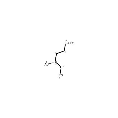 CCOC(=O)CC[C@H](OC#N)C(C)=O